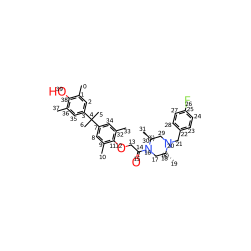 Cc1cc(C(C)(C)c2cc(C)c(OCC(=O)N3C[C@@H](C)N(Cc4ccc(F)cc4)C[C@@H]3C)c(C)c2)cc(C)c1O